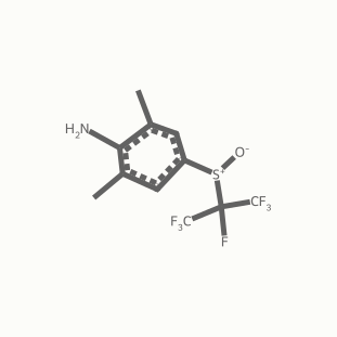 Cc1cc([S+]([O-])C(F)(C(F)(F)F)C(F)(F)F)cc(C)c1N